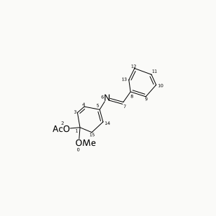 COC1(OC(C)=O)C=CC(N=Cc2ccccc2)=CC1